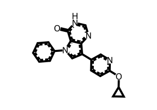 O=c1[nH]cnc2c(-c3ccc(OC4CC4)nc3)cn(-c3ccccc3)c12